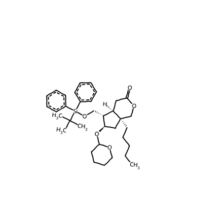 CCCCC[C@@]12COC(=O)C[C@@H]1[C@@H](CO[Si](c1ccccc1)(c1ccccc1)C(C)(C)C)[C@H](OC1CCCCO1)C2